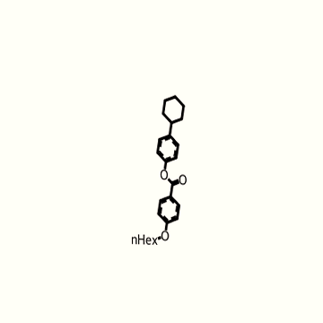 CCCCCCOc1ccc(C(=O)Oc2ccc(C3CCCCC3)cc2)cc1